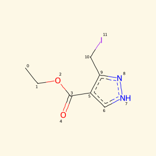 CCOC(=O)c1c[nH]nc1CI